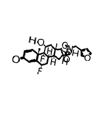 C[C@]12C=CC(=O)C=C1[C@@H](F)C[C@H]1[C@@H]3C[C@H]4CN(Cc5ccoc5)O[C@@]4(C(=O)O)[C@@]3(C)C[C@H](O)[C@@]12F